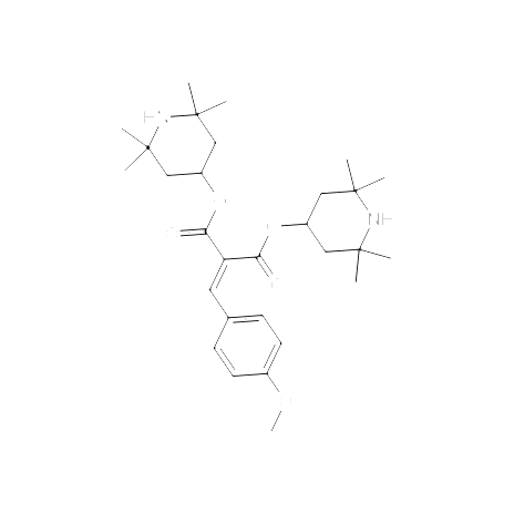 COc1ccc(C=C(C(=O)OC2CC(C)(C)NC(C)(C)C2)C(=O)OC2CC(C)(C)NC(C)(C)C2)cc1